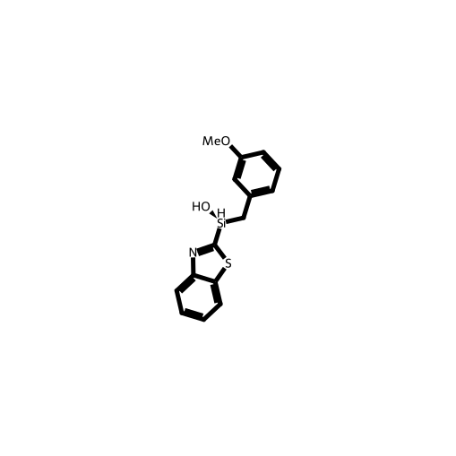 COc1cccc(C[Si@H](O)c2nc3ccccc3s2)c1